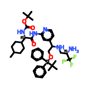 CC1CCC([C@H](NC(=O)OC(C)(C)C)C(=O)Nc2cc(C(CO[Si](c3ccccc3)(c3ccccc3)C(C)(C)C)NC[C@H](N)C(F)(F)F)ccn2)CC1